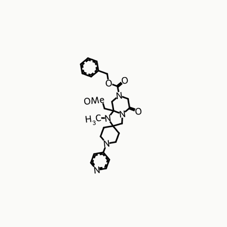 COCC12CN(C(=O)OCc3ccccc3)CC(=O)N1CC1(CCN(c3ccncc3)CC1)N2C